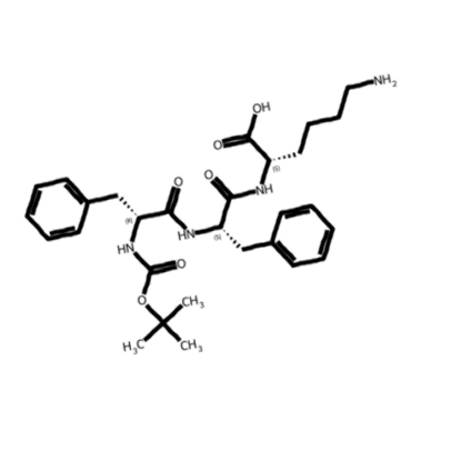 CC(C)(C)OC(=O)N[C@H](Cc1ccccc1)C(=O)N[C@@H](Cc1ccccc1)C(=O)N[C@@H](CCCCN)C(=O)O